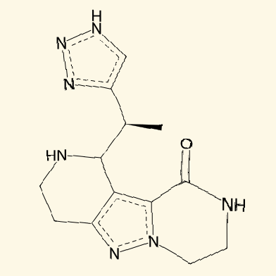 C[C@H](c1c[nH]nn1)C1NCCc2nn3c(c21)C(=O)NCC3